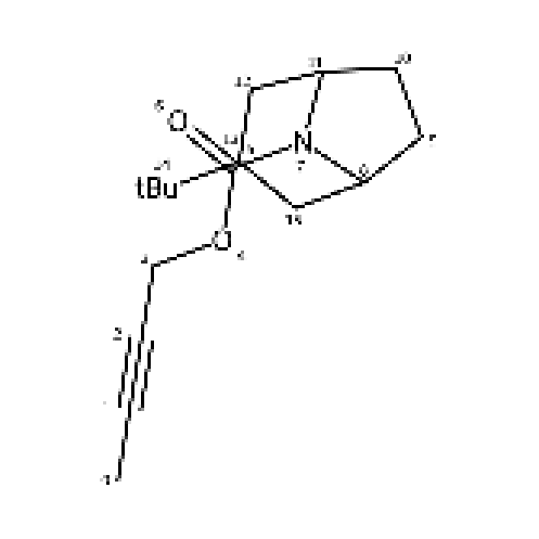 CC#CCOC(=O)N1C2CCC1CC(C(C)(C)C)C2